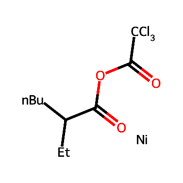 CCCCC(CC)C(=O)OC(=O)C(Cl)(Cl)Cl.[Ni]